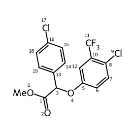 COC(=O)C(Oc1ccc(Cl)c(C(F)(F)F)c1)c1ccc(Cl)cc1